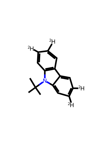 [2H]c1cc2c3cc([2H])c([2H])cc3n(C(C)(C)C)c2cc1[2H]